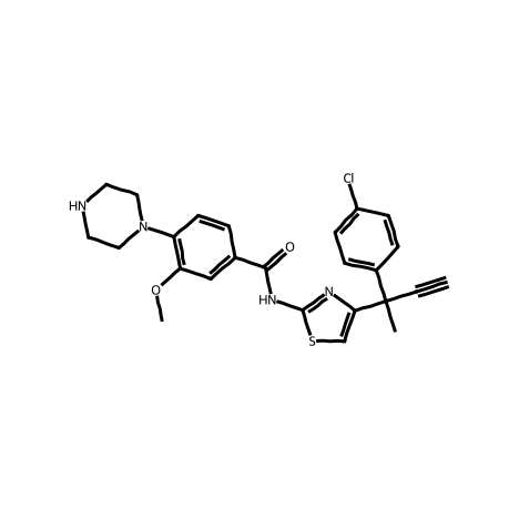 C#CC(C)(c1ccc(Cl)cc1)c1csc(NC(=O)c2ccc(N3CCNCC3)c(OC)c2)n1